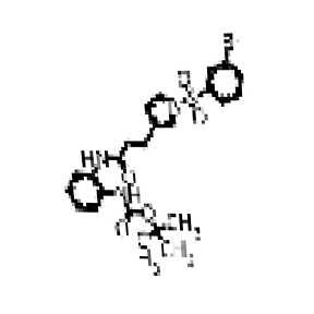 CC(C)(C)OC(=O)Nc1ccccc1NC(=O)C=Cc1ccn(S(=O)(=O)c2cccc(Br)c2)c1